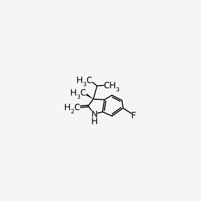 C=C1Nc2cc(F)ccc2[C@@]1(C)C(C)C